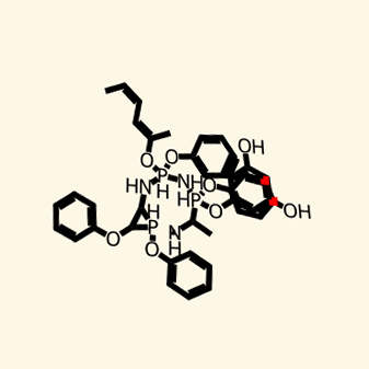 C/C=C\C=C(/C)O[PH]1(Oc2cc#ccc2)NC2C(Oc3ccccc3)[PH]2(Oc2ccccc2)NC(C)[PH](Oc2ccccc2)(Oc2cc(O)cc(O)c2)N1